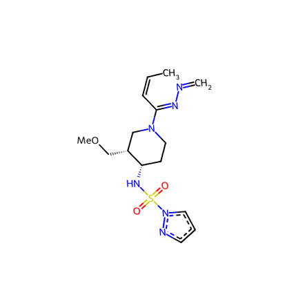 C=N/N=C(\C=C/C)N1CC[C@H](NS(=O)(=O)n2cccn2)[C@H](COC)C1